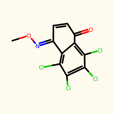 CON=C1C=CC(=O)c2c(Cl)c(Cl)c(Cl)c(Cl)c21